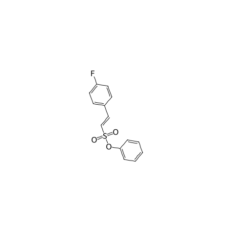 O=S(=O)(/C=C/c1ccc(F)cc1)Oc1ccccc1